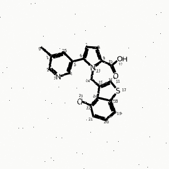 Cc1cncc(-c2ccc(C(=O)O)n2Cc2csc3cccc(Cl)c23)c1